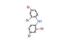 Brc1ccc(Nc2ccc(Br)cc2Br)c(Br)c1